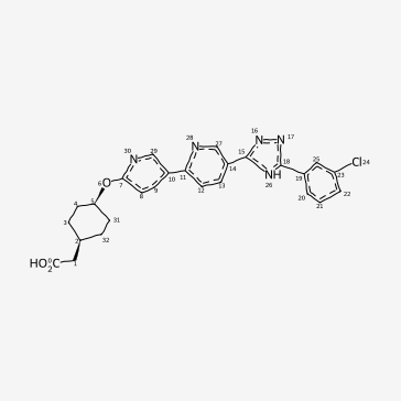 O=C(O)C[C@H]1CC[C@@H](Oc2ccc(-c3ccc(-c4nnc(-c5cccc(Cl)c5)[nH]4)cn3)cn2)CC1